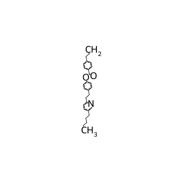 C=CCc1ccc(C(=O)Oc2ccc(CCc3ccc(CCCCC)cn3)cc2)cc1